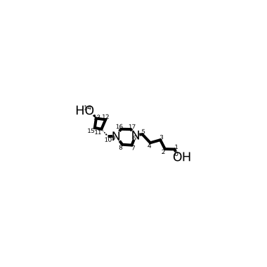 OCCCCCN1CCN(C[C@H]2C[C@H](O)C2)CC1